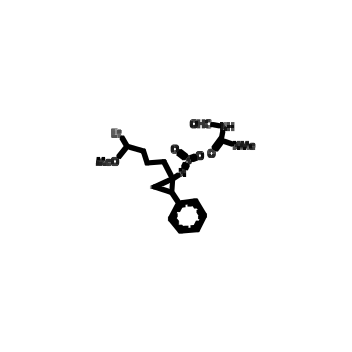 CCC(CCCC1(N=S(=O)=O)CC1c1ccccc1)OC.CNC(=O)NC=O